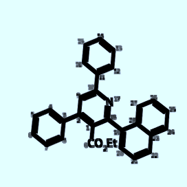 CCOC(=O)c1c(-c2ccccc2)cc(-c2ccccc2)nc1-c1cccc2ccccc12